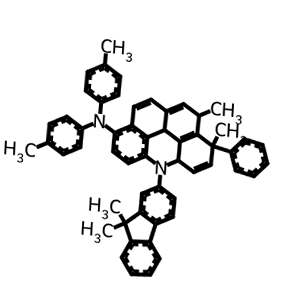 Cc1ccc(N(c2ccc(C)cc2)c2ccc3c4c2C=CC2=CC(C)C5=C(C24)C(C=CC5(C)c2ccccc2)N3c2ccc3c(c2)C(C)(C)c2ccccc2-3)cc1